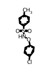 Cc1ccc(S(=O)(=O)NOc2ccc(Cl)cc2)cc1